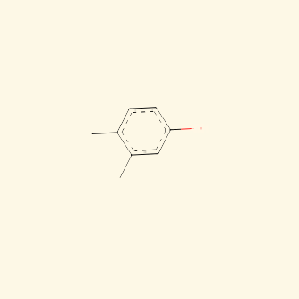 Cc1ccc(O)cc1C.Cl